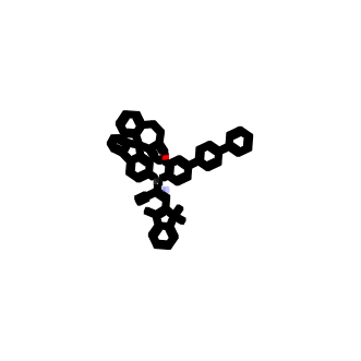 C#C/C(=C\C1=C(C)c2ccccc2C1(C)C)N(c1ccc2c(c1)C1(C3=CCCC=C3CCc3ccccc31)c1ccccc1-2)c1ccc(-c2ccc(-c3ccccc3)cc2)cc1C